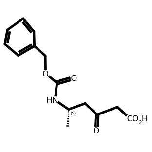 C[C@@H](CC(=O)CC(=O)O)NC(=O)OCc1ccccc1